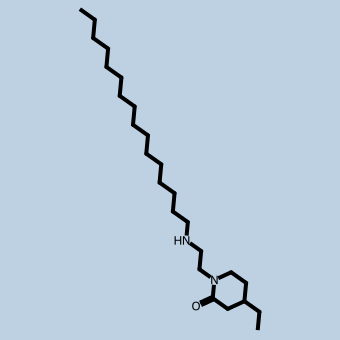 CCCCCCCCCCCCCCCCNCCN1CCC(CC)CC1=O